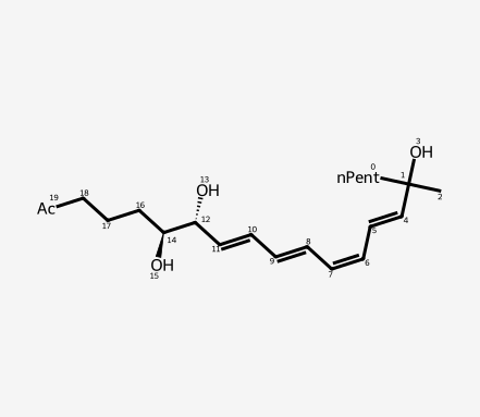 CCCCCC(C)(O)/C=C/C=C\C=C\C=C\[C@@H](O)[C@@H](O)CCCC(C)=O